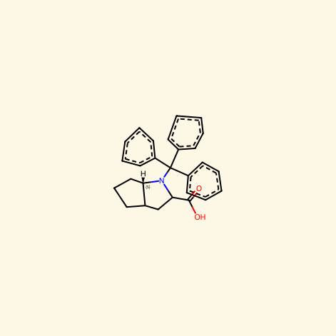 O=C(O)C1CC2CCC[C@@H]2N1C(c1ccccc1)(c1ccccc1)c1ccccc1